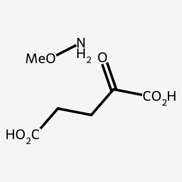 CON.O=C(O)CCC(=O)C(=O)O